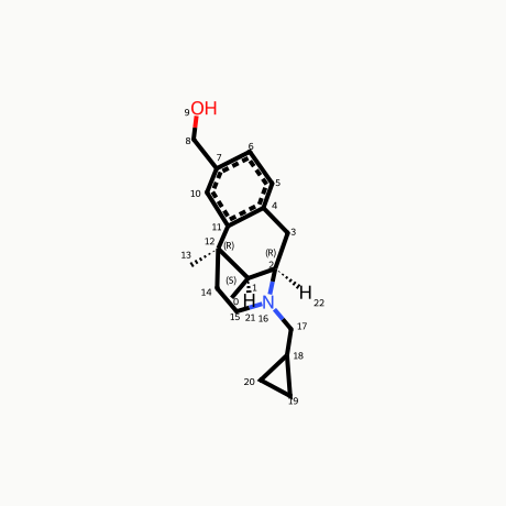 C[C@@H]1[C@H]2Cc3ccc(CO)cc3[C@]1(C)CCN2CC1CC1